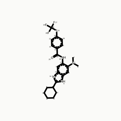 CN(C)c1cc2[nH]c(C3CCCCC3)nc2cc1NC(=O)c1ccc(SC(F)(F)F)cc1